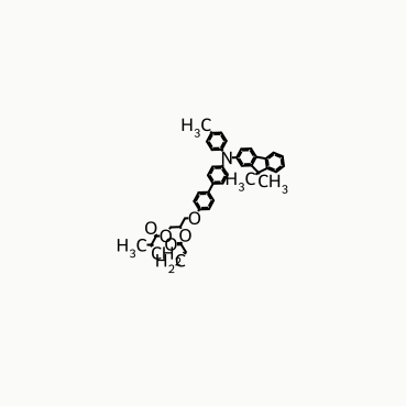 C=CC(=O)OC(COC(=O)C(=C)C)COc1ccc(-c2ccc(N(c3ccc(C)cc3)c3ccc4c(c3)C(C)(C)c3ccccc3-4)cc2)cc1